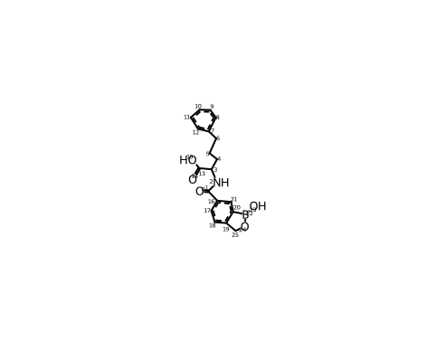 O=C(NC(CCCc1ccccc1)C(=O)O)c1ccc2c(c1)B(O)OC2